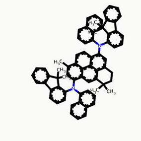 Cc1cc(N(c2cccc3c2C(C)(C)c2ccccc2-3)c2cccc3ccccc23)c2cc3c4c(cc(N(c5cccc6c5C(C)(C)c5ccccc5-6)c5cccc6ccccc56)c5ccc1c2c54)CCC3(C)C